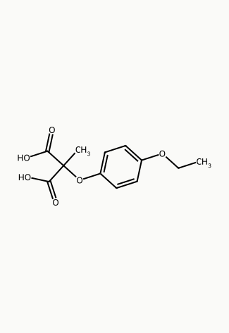 CCOc1ccc(OC(C)(C(=O)O)C(=O)O)cc1